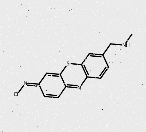 CNCc1ccc2nc3cc/c(=N\Cl)cc-3sc2c1